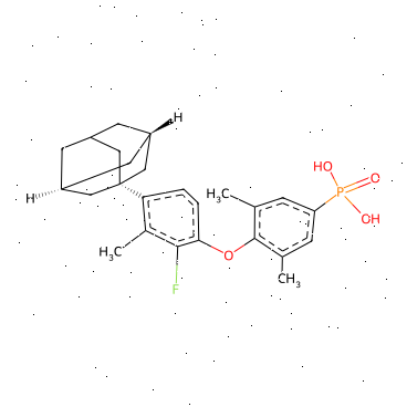 Cc1cc(P(=O)(O)O)cc(C)c1Oc1ccc([C@]23CC4C[C@@H](C[C@H](C4)C2)C3)c(C)c1F